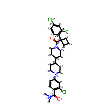 CN(C)C(=O)c1ccc(N2CCC(C3CCN(C(=O)C4(c5ccc(Cl)cc5Cl)CCC4)CC3)CC2)cc1Cl